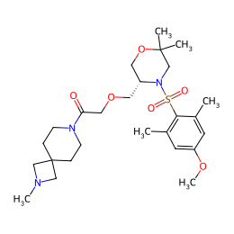 COc1cc(C)c(S(=O)(=O)N2CC(C)(C)OC[C@H]2COCC(=O)N2CCC3(CC2)CN(C)C3)c(C)c1